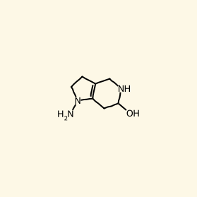 NN1CCC2=C1CC(O)NC2